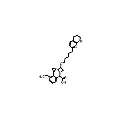 CCc1cccc(C(C(=O)O)N2CC(OCCCCCc3ccc4c(n3)NCCC4)C2)c1C1CC1